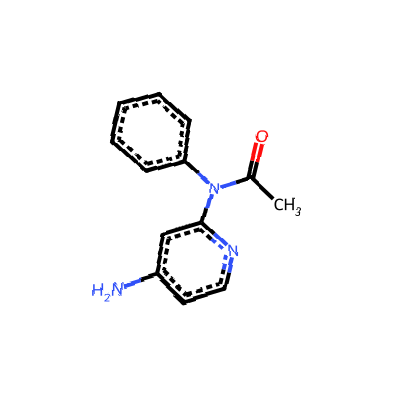 CC(=O)N(c1ccccc1)c1cc(N)ccn1